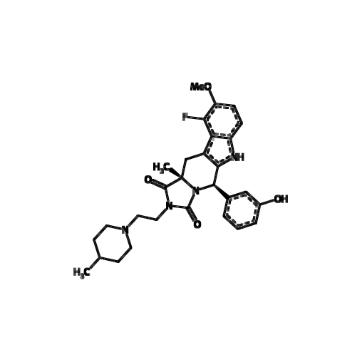 COc1ccc2[nH]c3c(c2c1F)C[C@@]1(C)C(=O)N(CCN2CCC(C)CC2)C(=O)N1[C@@H]3c1cccc(O)c1